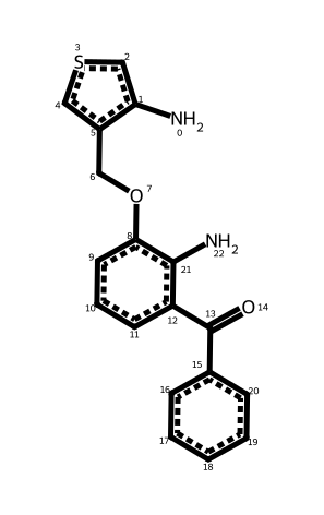 Nc1cscc1COc1cccc(C(=O)c2ccccc2)c1N